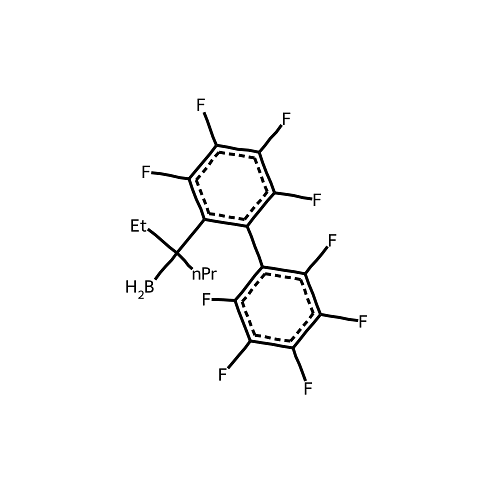 BC(CC)(CCC)c1c(F)c(F)c(F)c(F)c1-c1c(F)c(F)c(F)c(F)c1F